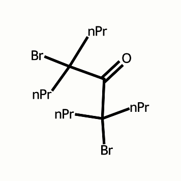 CCCC(Br)(CCC)C(=O)C(Br)(CCC)CCC